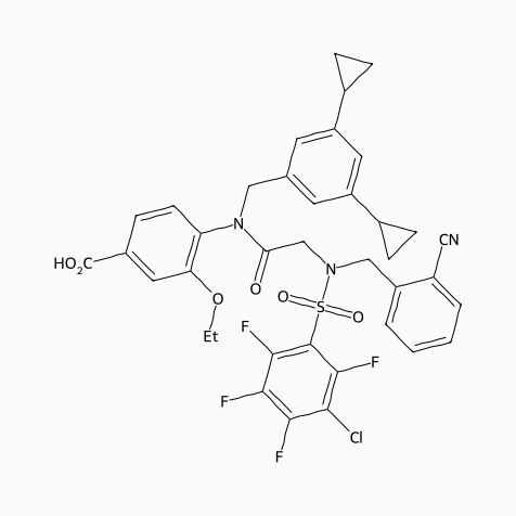 CCOc1cc(C(=O)O)ccc1N(Cc1cc(C2CC2)cc(C2CC2)c1)C(=O)CN(Cc1ccccc1C#N)S(=O)(=O)c1c(F)c(F)c(F)c(Cl)c1F